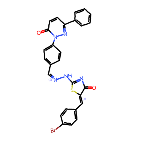 O=C1N=C(N/N=C\c2ccc(-n3nc(-c4ccccc4)ccc3=O)cc2)S/C1=C\c1ccc(Br)cc1